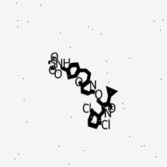 CS(=O)(=O)NC(=O)c1ccc2c(c1)Oc1ccc(OCc3c(-c4c(Cl)cccc4Cl)noc3C3CC3)nc1CC2